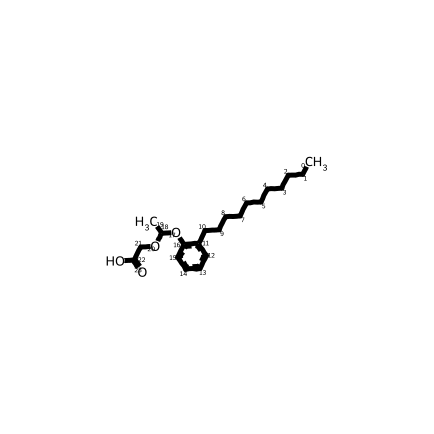 CCCCCCCCCCCc1ccccc1OC(C)OCC(=O)O